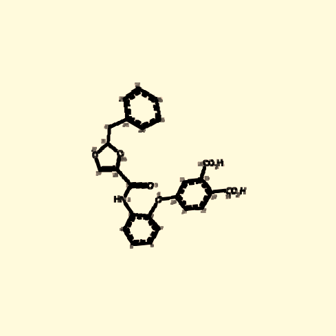 O=C(Nc1ccccc1Oc1ccc(C(=O)O)c(C(=O)O)c1)C1=COC(Cc2ccccc2)O1